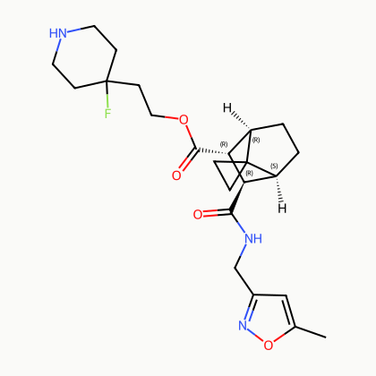 Cc1cc(CNC(=O)[C@H]2[C@H](C(=O)OCCC3(F)CCNCC3)[C@H]3CC[C@@H]2C32CC2)no1